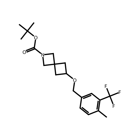 Cc1ccc(COC2CC3(C2)CN(C(=O)OC(C)(C)C)C3)cc1C(F)(F)F